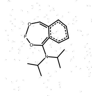 CC(C)N(C1=c2ccccc2=CO[P]O1)C(C)C